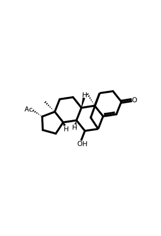 CC(=O)[C@H]1CC[C@H]2[C@@H]3C(O)C4CC5CC(=O)C=C4[C@@]5(C)[C@H]3CC[C@]12C